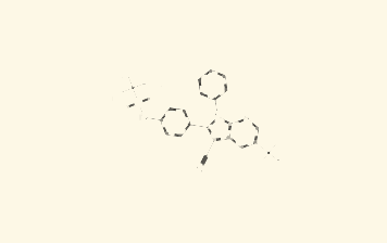 CC(C)(C)S(=O)(=O)Nc1ccc(-c2c(C#N)c3cc(C(F)(F)F)cnc3n2-c2ccccc2)cc1